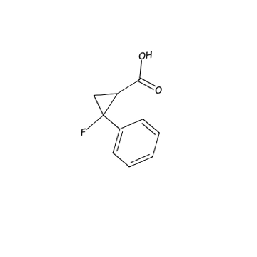 O=C(O)C1CC1(F)c1ccccc1